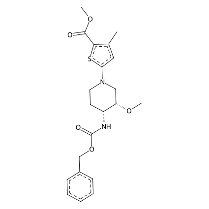 COC(=O)c1sc(N2CC[C@@H](NC(=O)OCc3ccccc3)[C@@H](OC)C2)cc1C